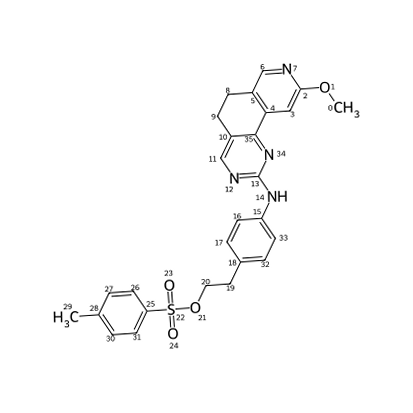 COc1cc2c(cn1)CCc1cnc(Nc3ccc(CCOS(=O)(=O)c4ccc(C)cc4)cc3)nc1-2